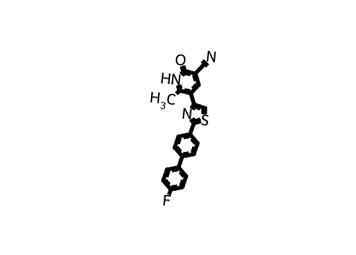 Cc1[nH]c(=O)c(C#N)cc1-c1csc(-c2ccc(-c3ccc(F)cc3)cc2)n1